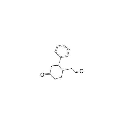 O=CCC1CCC(=O)CC1c1ccccc1